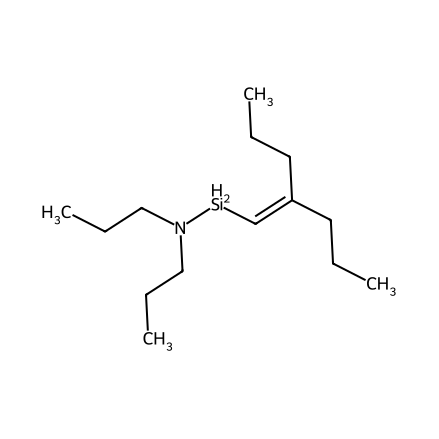 CCCC(=C[SiH2]N(CCC)CCC)CCC